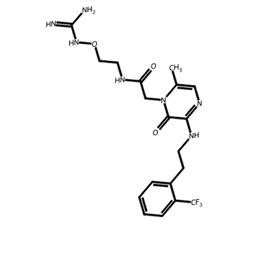 Cc1cnc(NCCc2ccccc2C(F)(F)F)c(=O)n1CC(=O)NCCONC(=N)N